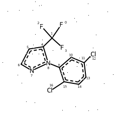 FC(F)(F)c1ccnn1-c1cc(Cl)ccc1Cl